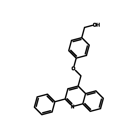 OCc1ccc(OCc2cc(-c3ccccc3)nc3ccccc23)cc1